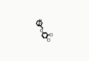 Clc1ccc(OCC2CN3CCC2CC3)cc1Cl